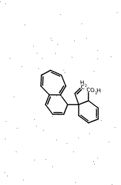 C=CC1(C2C=CC=C3C=CC=CC=C32)C=CC=CC1C(=O)O